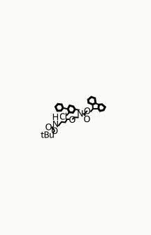 CC(C)(C)OC(=O)NCCCCOCCN(Cc1ccc(-c2ccccc2)c(Cl)c1)C(=O)OCC1c2ccccc2-c2ccccc21